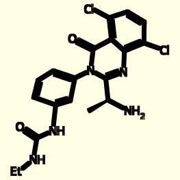 CCNC(=O)Nc1cccc(-n2c([C@H](C)N)nc3c(Cl)ccc(Cl)c3c2=O)c1